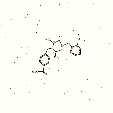 COC(=O)c1ccc(CN2[C@H](C)CN(Cc3ccccc3Cl)C[C@@H]2C)cc1